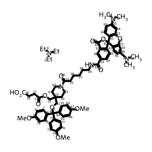 CCN(CC)CC.COc1ccc(C(OCC2(COC(=O)CCC(=O)O)CCN(C(=O)CCCCCNC(=O)c3ccc4c(c3)C(=O)OC43c4ccc(N(C)C)cc4Oc4cc(N(C)C)ccc43)CC2)(c2ccc(OC)cc2)c2ccc(OC)cc2)cc1